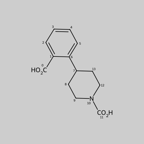 O=C(O)c1ccccc1C1CCN(C(=O)O)CC1